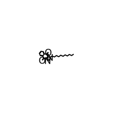 CCCCCCCCCCCn1cnc2c1C(=O)c1ccccc1C2=O